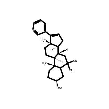 CC(=O)O[C@H]1CC[C@@]2(C)C(C1)C(O)(C#N)C[C@@H]1[C@@H]2CC[C@]2(C)C(c3cccnc3)=CC[C@@H]12